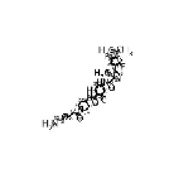 CN(C)c1nc(F)c(-c2cnc(C(=O)Nc3ccc(C(=O)NC4CCN(C(=O)CCOCCN)CC4)c(Cl)c3)n2C)cc1F